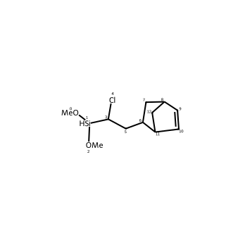 CO[SiH](OC)C(Cl)CC1CC2C=CC1C2